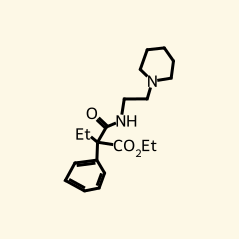 CCOC(=O)C(CC)(C(=O)NCCN1CCCCC1)c1ccccc1